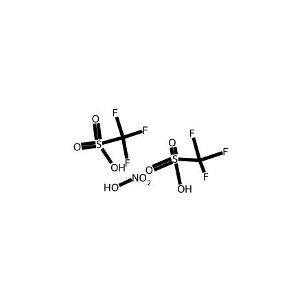 O=S(=O)(O)C(F)(F)F.O=S(=O)(O)C(F)(F)F.O=[N+]([O-])O